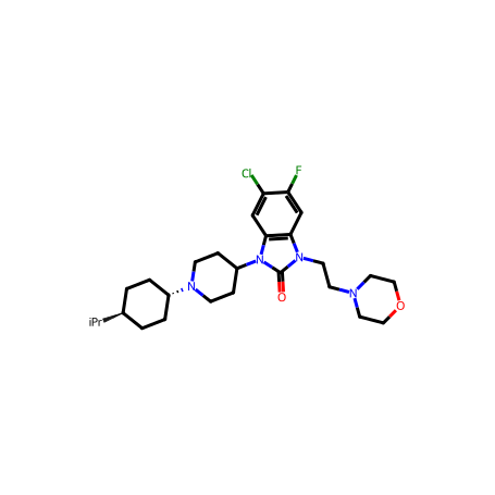 CC(C)[C@H]1CC[C@H](N2CCC(n3c(=O)n(CCN4CCOCC4)c4cc(F)c(Cl)cc43)CC2)CC1